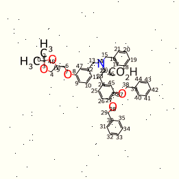 CC1(C)OC[C@H](COc2cccc(CN(Cc3ccccc3)[C@@H](Cc3ccc(OCc4ccccc4)c(OCc4ccccc4)c3)C(=O)O)c2)O1